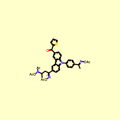 CC(=O)ON=C(C)c1ccc(-n2c3ccc(C(=O)c4cccs4)cc3c3cc(/C(CC(C)N(OC(C)=O)C(C)=O)=N/OC(C)=O)ccc32)cc1